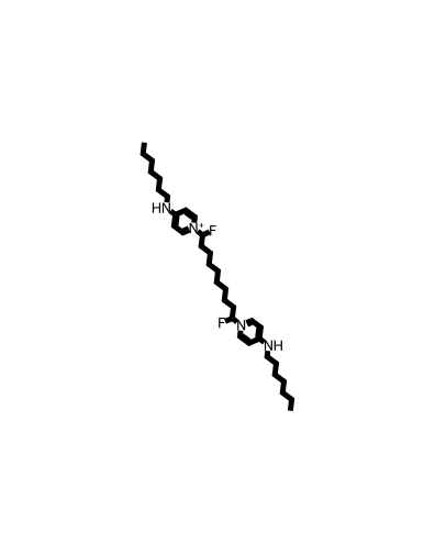 CCCCCCCNc1cc[n+](C(F)CCCCCCCCC(F)[n+]2ccc(NCCCCCCC)cc2)cc1